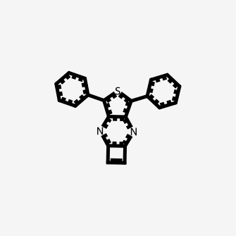 C1=Cc2nc3c(-c4ccccc4)sc(-c4ccccc4)c3nc21